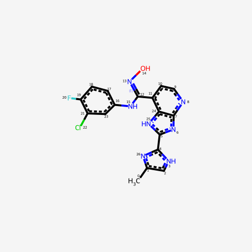 Cc1c[nH]c(-c2nc3nccc(/C(=N\O)Nc4ccc(F)c(Cl)c4)c3[nH]2)n1